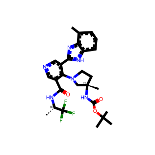 Cc1cccc2[nH]c(-c3cncc(C(=O)N[C@@H](C)C(F)(F)F)c3N3CC[C@](C)(NC(=O)OC(C)(C)C)C3)nc12